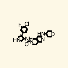 O=C(N[C@@H]1CNC[C@H]1c1ccc(Cl)c(F)c1)N1CCc2cnc(NC3CCOCC3)cc2C1